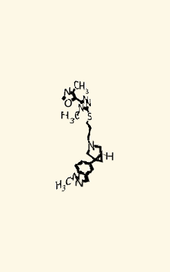 Cc1ncoc1-c1nnc(SCCCN2C[C@H]3CC3(c3ccc4c(cnn4C)c3)C2)n1C